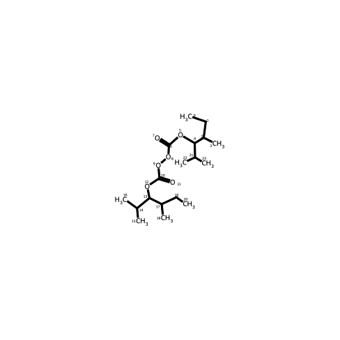 CCC(C)C(OC(=O)OOC(=O)OC(C(C)C)C(C)CC)C(C)C